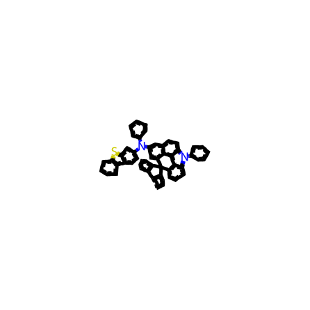 c1ccc(N(c2cc3c4c(ccc5c4c4c(cccc4n5-c4ccccc4)C34c3ccccc3-c3ccccc34)c2)c2ccc3c(c2)sc2ccccc23)cc1